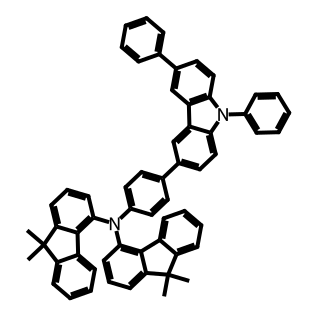 CC1(C)c2ccccc2-c2c(N(c3ccc(-c4ccc5c(c4)c4cc(-c6ccccc6)ccc4n5-c4ccccc4)cc3)c3cccc4c3-c3ccccc3C4(C)C)cccc21